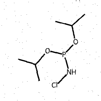 CC(C)OP(NCl)OC(C)C